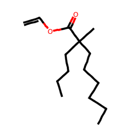 C=COC(=O)C(C)(CCCC)CCCCCC